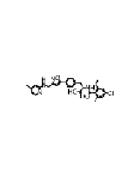 CCc1cc(Cl)cc(C)c1C(=O)NC(Cc1ccc(-c2cc(CNc3cc(C)ccn3)no2)cc1)C(=O)O